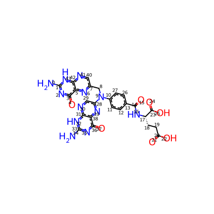 Nc1nc(=O)c2nc(CN(c3ccc(C(=O)N[C@@H](CCC(=O)O)C(=O)O)cc3)c3cnc4[nH]c(N)nc(=O)c4n3)cnc2[nH]1